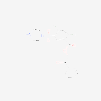 CN1CCN(S(=O)(=O)c2cc(C(=O)OCC(=O)c3ccccc3)c(Cl)cc2Cl)CC1